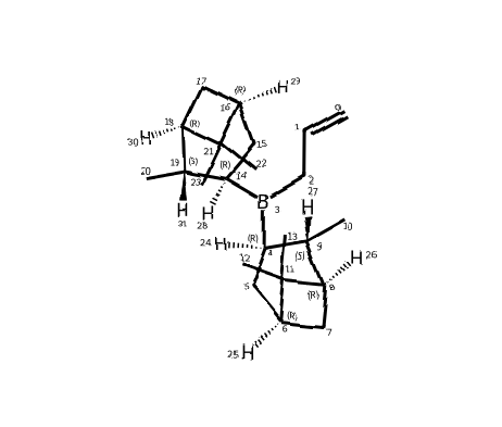 C=CCB([C@@H]1C[C@@H]2C[C@H]([C@H]1C)C2(C)C)[C@@H]1C[C@@H]2C[C@H]([C@H]1C)C2(C)C